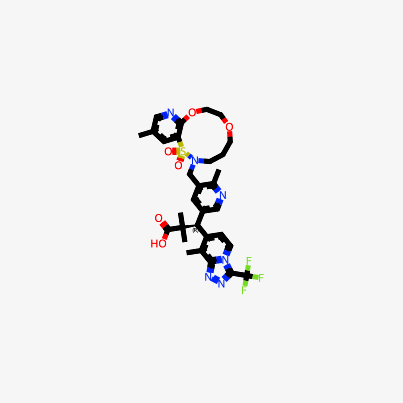 Cc1cnc2c(c1)S(=O)(=O)N(Cc1cc([C@@H](c3ccn4c(C(F)(F)F)nnc4c3C)C(C)(C)C(=O)O)cnc1C)CCCOCCO2